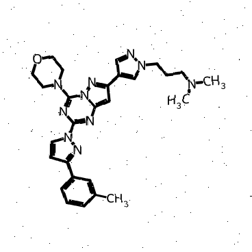 Cc1cccc(-c2ccn(-c3nc(N4CCOCC4)n4nc(-c5cnn(CCCN(C)C)c5)cc4n3)n2)c1